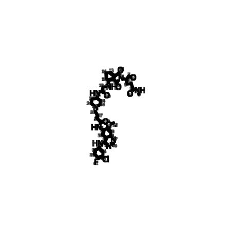 CNC(=O)CCC(C=O)N1C(=O)c2cccc(NCC(=O)NC3CCN(C/C=C/C(=O)Nc4cc5c(Nc6ccc(F)c(Cl)c6)ncnc5cc4OC)CC3)c2C1=O